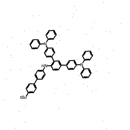 CC(C)(C)c1ccc(-c2ccc(Nc3ccc(-c4ccc(N(c5ccccc5)c5ccccc5)cc4)cc3-c3ccc(N(c4ccccc4)c4ccccc4)cc3)cc2)cc1